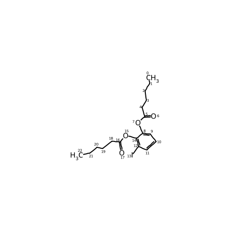 CCCCCC(=O)Oc1cccc(I)c1OC(=O)CCCCC